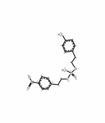 Cc1ccc(CCOP(C)(=O)OCCc2ccc([N+](=O)[O-])cc2)cc1